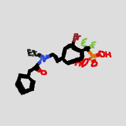 CCN(CCc1ccc(C(F)(F)P(=O)(O)O)c(Br)c1)C(=O)Cc1ccccc1